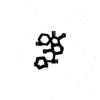 O=C1NC2(CCCNC2)n2c1ccc(Nc1ccncn1)c2=O